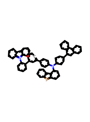 c1cc(-c2ccc(N(c3ccc(-c4cc5ccccc5c5ccccc45)cc3)c3cccc4sc5ccccc5c34)cc2)cc(-c2ccccc2-n2c3ccccc3c3ccccc32)c1